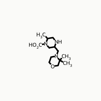 CC1CNC(CN2CCOCC2(C)C)CN1C(=O)O